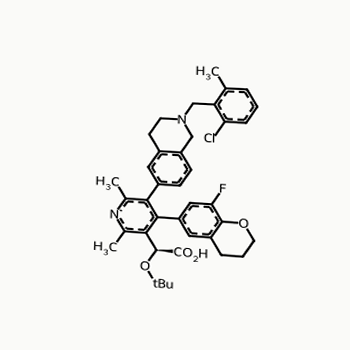 Cc1cccc(Cl)c1CN1CCc2cc(-c3c(C)nc(C)c([C@H](OC(C)(C)C)C(=O)O)c3-c3cc(F)c4c(c3)CCCO4)ccc2C1